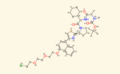 CC(C(=O)NC(C(=O)N1CCC[C@H]1c1nc(-c2ccc(OCCOCCOCCBr)c3ccccc23)cs1)C1CCCCC1)N(C)C(=O)OC(C)(C)C